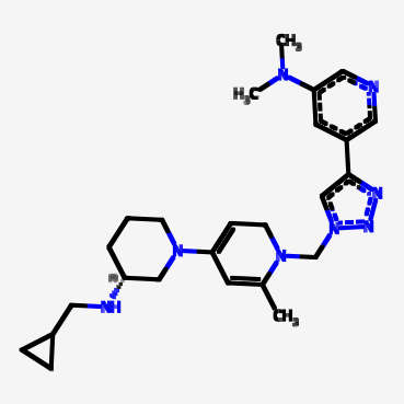 CC1=CC(N2CCC[C@@H](NCC3CC3)C2)=CCN1Cn1cc(-c2cncc(N(C)C)c2)nn1